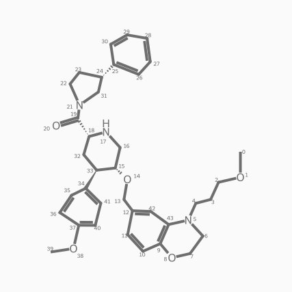 COCCCN1CCOc2ccc(CO[C@H]3CN[C@@H](C(=O)N4CC[C@H](c5ccccc5)C4)C[C@@H]3c3ccc(OC)cc3)cc21